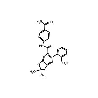 CC1(C)Cc2cc(-c3ccccc3C(=O)O)c(C(=O)Nc3ccc(C(=N)N)cc3)cc2O1